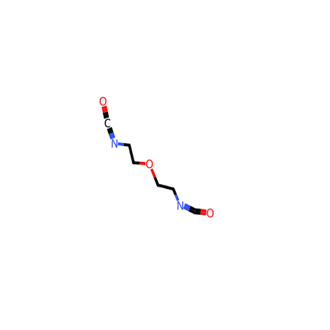 O=C=NCCOCCN=C=O